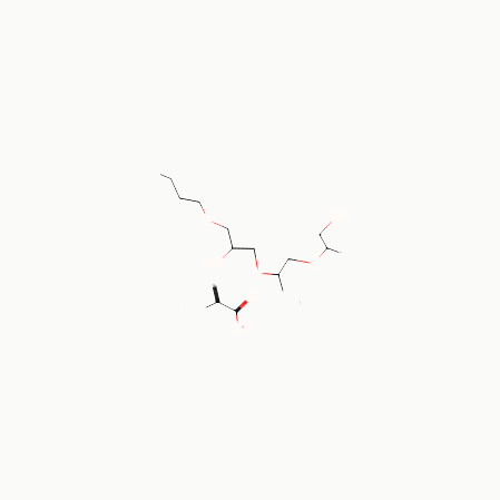 C=C(C)C(=O)O.CCCCOCC(O)COC(C)COC(C)CO